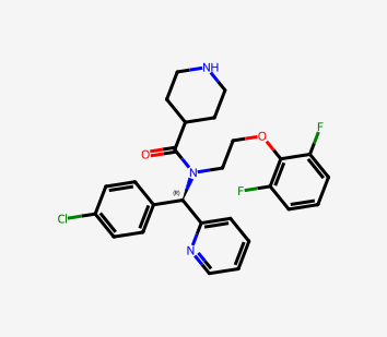 O=C(C1CCNCC1)N(CCOc1c(F)cccc1F)[C@H](c1ccc(Cl)cc1)c1ccccn1